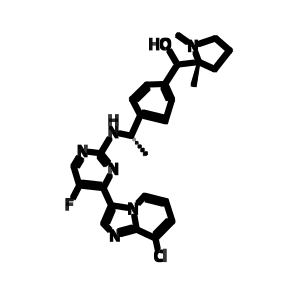 C[C@H](Nc1ncc(F)c(-c2cnc3c(Cl)cccn23)n1)c1ccc(C(O)[C@@]2(C)CCCN2C)cc1